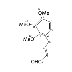 COc1ccc(CC=CC=O)c(OC)c1OC